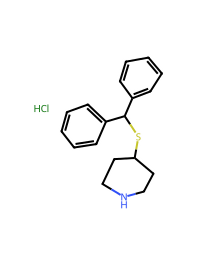 Cl.c1ccc(C(SC2CCNCC2)c2ccccc2)cc1